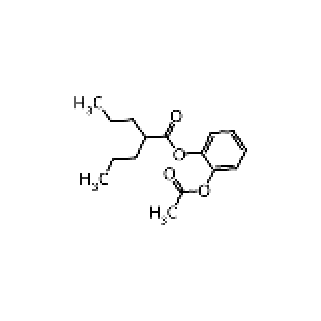 CCCC(CCC)C(=O)Oc1ccccc1OC(C)=O